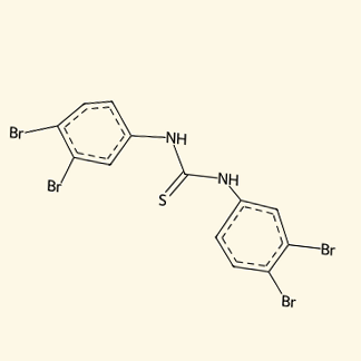 S=C(Nc1ccc(Br)c(Br)c1)Nc1ccc(Br)c(Br)c1